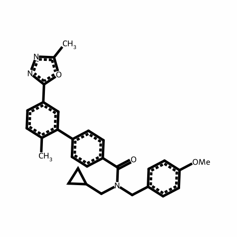 COc1ccc(CN(CC2CC2)C(=O)c2ccc(-c3cc(-c4nnc(C)o4)ccc3C)cc2)cc1